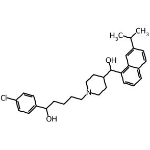 CC(C)c1ccc2cccc(C(O)C3CCN(CCCCC(O)c4ccc(Cl)cc4)CC3)c2c1